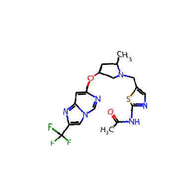 CC(=O)Nc1ncc(CN2CC(Oc3cc4nc(C(F)(F)F)cn4cn3)CC2C)s1